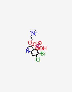 C[N+](C)(C)CCOC1(OP(=O)([O-])O)C=Nc2cc(Cl)c(Br)cc21